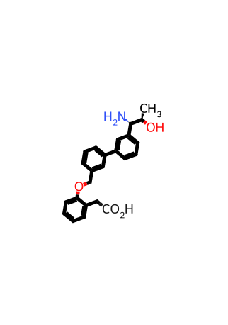 C[C@@H](O)[C@@H](N)c1cccc(-c2cccc(COc3ccccc3CC(=O)O)c2)c1